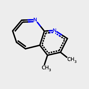 Cc1cnc2c(c1C)C=CC=C=N2